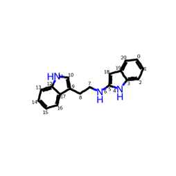 c1ccc2[nH]c(NCCc3c[nH]c4ccccc34)cc2c1